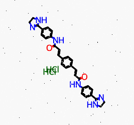 Cl.Cl.O=C(/C=C/c1ccc(/C=C/C(=O)Nc2ccc(C3=NCCN3)cc2)cc1)Nc1ccc(C2=NCCN2)cc1